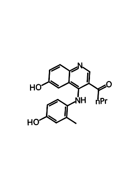 CCCC(=O)c1cnc2ccc(O)cc2c1Nc1ccc(O)cc1C